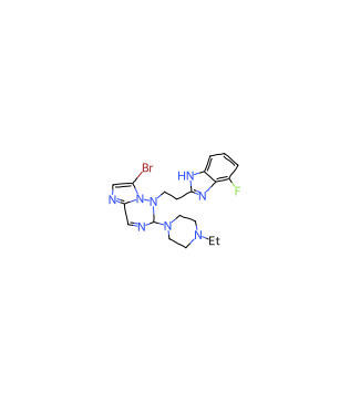 CCN1CCN(C2N=Cc3ncc(Br)n3N2CCc2nc3c(F)cccc3[nH]2)CC1